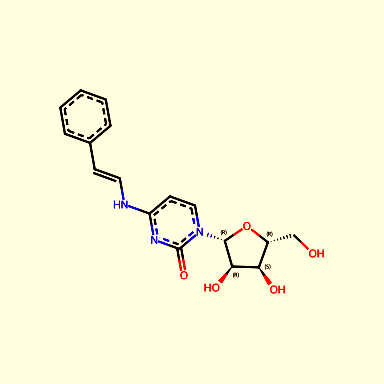 O=c1nc(NC=Cc2ccccc2)ccn1[C@@H]1O[C@H](CO)[C@@H](O)[C@H]1O